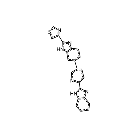 c1ccc2[nH]c(-c3ccc(-c4ccc5nc(-c6cscn6)[nH]c5c4)cn3)nc2c1